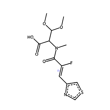 COC(OC)C(C(=O)O)N(C)C(=O)/C(F)=C/c1cscn1